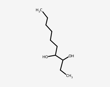 CCCCCCC(O)C(O)CC